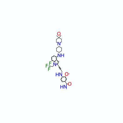 CNC(=O)c1ccc(NCC#Cc2cc3c(N[C@H]4CC[C@@H](N5CCC6(CC5)COC6)CC4)cccc3n2CC(F)(F)F)c(OC)c1